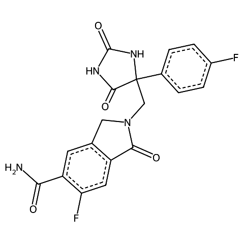 NC(=O)c1cc2c(cc1F)C(=O)N(CC1(c3ccc(F)cc3)NC(=O)NC1=O)C2